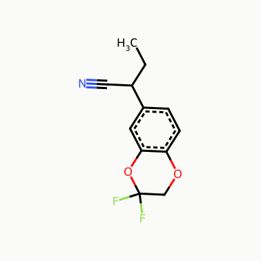 CCC(C#N)c1ccc2c(c1)OC(F)(F)CO2